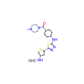 CN1CCN(C(=O)c2ccc(Nc3nnc(-c4cc(NC=O)cs4)s3)cc2)CC1